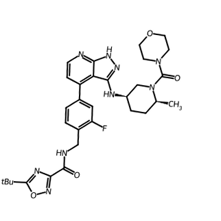 C[C@H]1CC[C@@H](Nc2n[nH]c3nccc(-c4ccc(CNC(=O)c5noc(C(C)(C)C)n5)c(F)c4)c23)CN1C(=O)N1CCOCC1